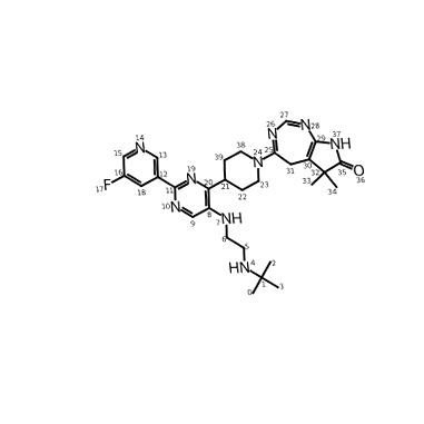 CC(C)(C)NCCNc1cnc(-c2cncc(F)c2)nc1C1CCN(C2=NC=NC3=C(C2)C(C)(C)C(=O)N3)CC1